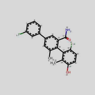 Cc1cc(-c2cccc(F)c2)cc(C(N)=O)c1-c1c(F)ccc(O)c1C